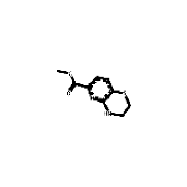 COC(=O)c1ccc2c(n1)NCCS2